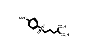 COc1ccc(S(=O)(=O)CCCC(C(=O)O)C(=O)O)cc1